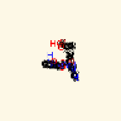 CCc1ccc(CC(NC(=O)ON2CCC(N3CCc4ccccc4NC3=O)CC2)C(=O)N2CCN(C3CCN(C)CC3)CC2)cc1CC.O=S(=O)(O)c1ccc2ccccc2c1